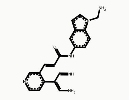 N=C/C(=C\N)c1ccncc1/C=C/C(=O)Nc1ccc2c(ccn2CN)c1